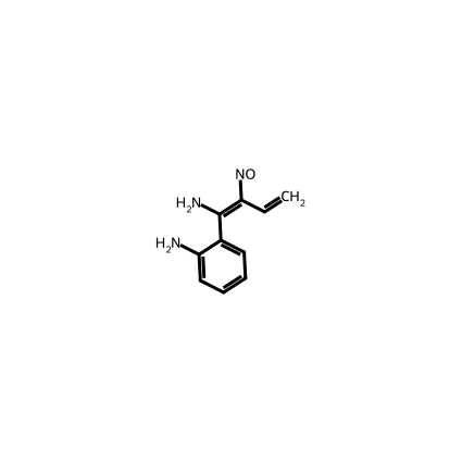 C=C/C(N=O)=C(/N)c1ccccc1N